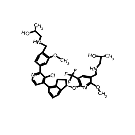 COc1cc(-c2nccc(-c3cccc4c3CC[C@H]4Oc3nc(OC)c(CNC[C@H](C)O)cc3C(F)(F)F)c2Cl)ccc1CNC[C@H](C)O